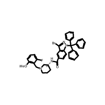 COc1cccc(F)c1CN1CCC[C@@H](NC(=O)c2ccc3c(c2)c(Br)nn3C(c2ccccc2)(c2ccccc2)c2ccccc2)C1